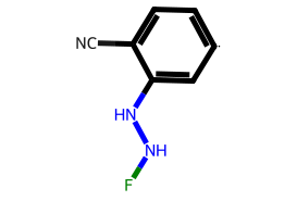 N#Cc1cc[c]cc1NNF